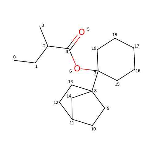 CCC(C)C(=O)OC1(C23CCC(CC2)C3)CCCCC1